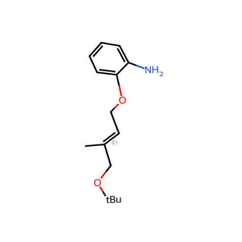 C/C(=C\COc1ccccc1N)COC(C)(C)C